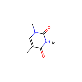 Cc1cn(C)c(=O)[nH]c1=O.[Hg]